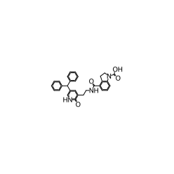 O=C(NCCc1cc(C(c2ccccc2)c2ccccc2)c[nH]c1=O)c1cccc2c1CCN2C(=O)O